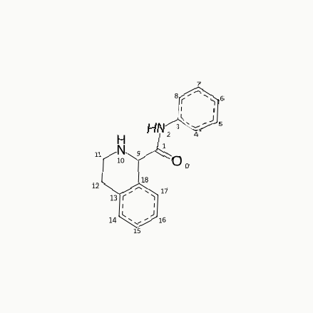 O=C(Nc1[c]cccc1)C1NCCc2ccccc21